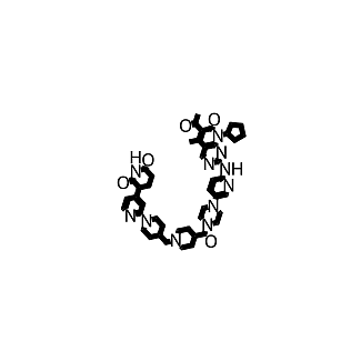 CC(=O)c1c(C)c2cnc(Nc3ccc(N4CCN(C(=O)C5CCN(CC6CCN(c7cc(C8CCC(=O)NC8=O)ccn7)CC6)CC5)CC4)cn3)nc2n(C2CCCC2)c1=O